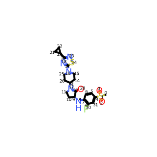 CS(=O)(=O)c1ccc(N[C@H]2CCN(C3CCN(c4nc(C5CC5)ns4)CC3)C2=O)c(F)c1